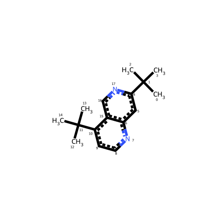 CC(C)(C)c1cc2nccc(C(C)(C)C)c2cn1